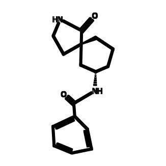 O=C(N[C@H]1CCC[C@]2(CCNC2=O)C1)c1ccccc1